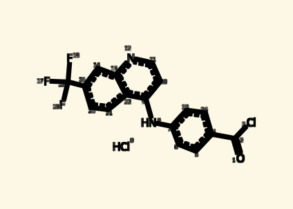 Cl.O=C(Cl)c1ccc(Nc2ccnc3cc(C(F)(F)F)ccc23)cc1